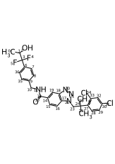 CC(O)C(F)(F)c1ccc(CNC(=O)c2ccc3c(c2)nnn3CC(C)(C)c2ccc(Cl)cc2Cl)cc1